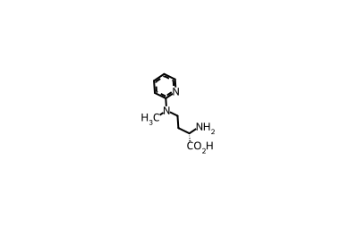 CN(CC[C@H](N)C(=O)O)c1ccccn1